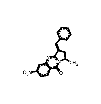 CC1CC(=Cc2ccccc2)c2nc3cc([N+](=O)[O-])ccc3c(=O)n21